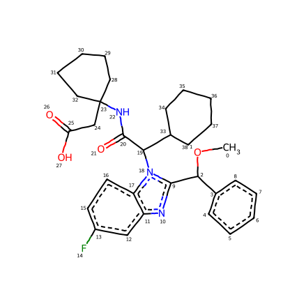 COC(c1ccccc1)c1nc2cc(F)ccc2n1C(C(=O)NC1(CC(=O)O)CCCCC1)C1CCCCC1